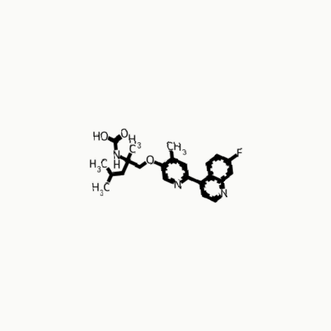 Cc1cc(-c2ccnc3cc(F)ccc23)ncc1OCC(C)(CC(C)C)NC(=O)O